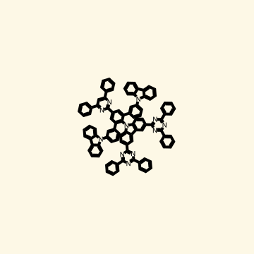 c1ccc(-c2cc(-c3ccccc3)nc(-c3cc(-c4cccc(-n5c6ccccc6c6ccccc65)c4)c(-n4c5ccc(-c6nc(-c7ccccc7)nc(-c7ccccc7)n6)cc5c5cc(-c6nc(-c7ccccc7)nc(-c7ccccc7)n6)ccc54)c(-c4cccc(-n5c6ccccc6c6ccccc65)c4)c3)n2)cc1